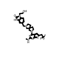 CNc1nc(N2CCC3(CCN(Cc4ccc5c(c4)[nH]c(=O)n5CCO)C3)C2)c2cc(CC(F)(F)F)sc2n1